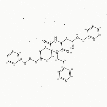 O=C(CC1NC(=O)C2(CCN(CCCc3ccccc3)CC2)N(CCc2ccccc2)C1=O)OCc1ccccc1